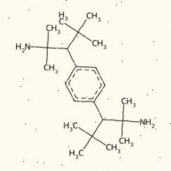 CC(C)(C)C(c1ccc(C(C(C)(C)C)C(C)(C)N)cc1)C(C)(C)N